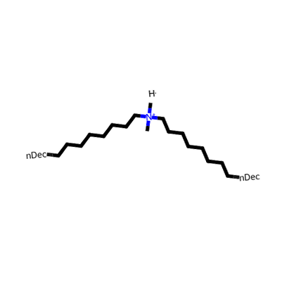 CCCCCCCCCCCCCCCCCC[N+](C)(C)CCCCCCCCCCCCCCCCCC.[H]